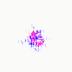 N=C(N)NCCC[C@H](NC(=O)[C@H](CCCCN)NC(=O)CNC(=O)[C@@H]1C[C@@H](O)CN1C(=O)[C@H](CCCNC(=N)N)NC(=O)CN)C(=O)NCC(=O)N[C@@H](CCCCN)C(=O)N[C@@H](CCC(N)=O)C(=O)NCC(=O)N[C@@H](CCC(N)=O)C(=O)N[C@@H](CCCCN)C(=O)O